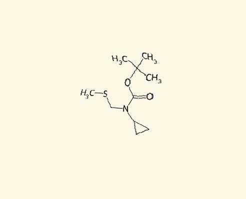 CSCN(C(=O)OC(C)(C)C)C1CC1